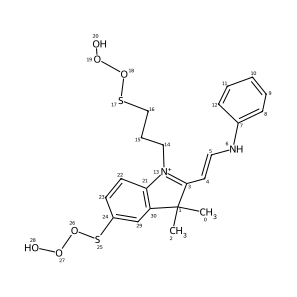 CC1(C)C(/C=C/Nc2ccccc2)=[N+](CCCSOOO)c2ccc(SOOO)cc21